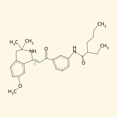 CCCCC(CC)C(=O)Nc1cccc(C(=O)/C=C2\NC(C)(C)Cc3ccc(OC)cc32)c1